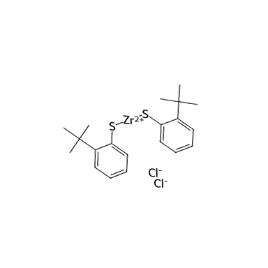 CC(C)(C)c1ccccc1[S][Zr+2][S]c1ccccc1C(C)(C)C.[Cl-].[Cl-]